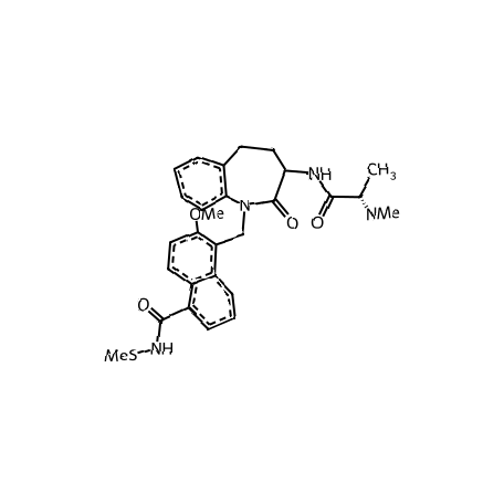 CN[C@@H](C)C(=O)NC1CCc2ccccc2N(Cc2c(OC)ccc3c(C(=O)NSC)cccc23)C1=O